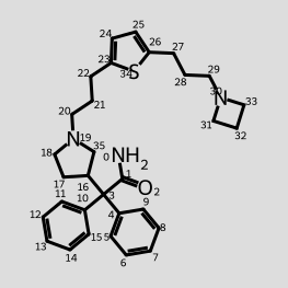 NC(=O)C(c1ccccc1)(c1ccccc1)C1CCN(CCCc2ccc(CCCN3CCC3)s2)C1